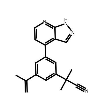 C=C(C)c1cc(-c2ccnc3[nH]ncc23)cc(C(C)(C)C#N)c1